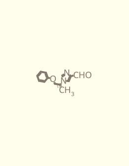 C[C@@H](COc1ccccc1)n1cnc(C=O)c1